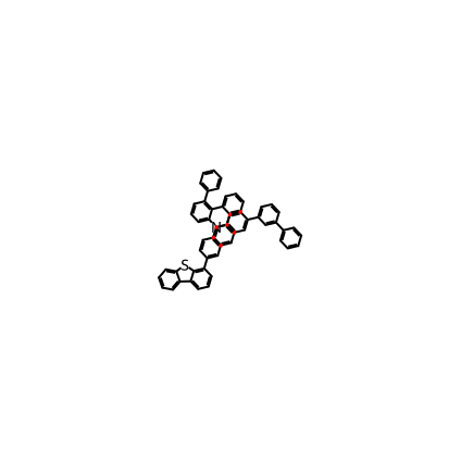 c1ccc(-c2cccc(-c3ccc(N(c4ccc(-c5cccc6c5sc5ccccc56)cc4)c4cccc(-c5ccccc5)c4-c4ccccc4-c4ccccc4)cc3)c2)cc1